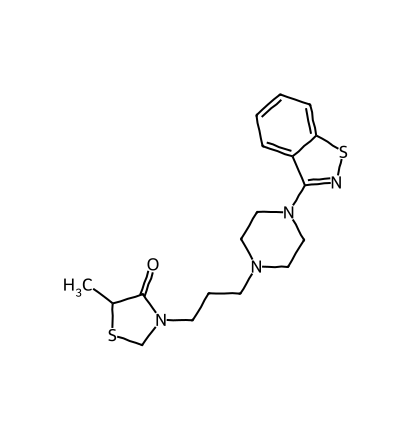 CC1SCN(CCCN2CCN(c3nsc4ccccc34)CC2)C1=O